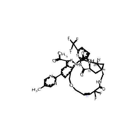 CC(=O)c1nn2c3c(cc(-c4ncc(C)cn4)cc13)COC/C=C\C(F)(F)C(=O)NC[C@@]13C[C@@H](C(=O)Nc4nc(C(F)(F)F)ccc4C)N(C(=O)C2)[C@@H]1C3